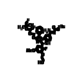 CCCCOC(=O)/N=C(\N)c1ccc(N[C@@H](c2nc(OCOC(=O)OC(C)(C)CF)n(-c3ncccn3)n2)c2cc(OC)cc(OCCO)c2F)cc1